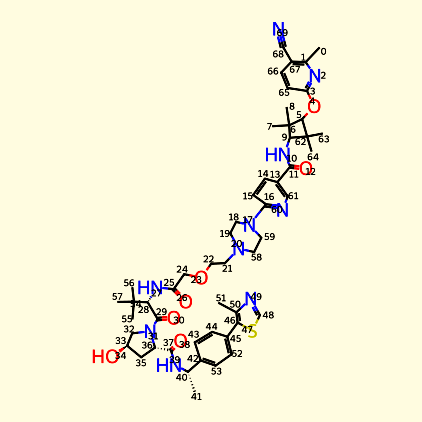 Cc1nc(OC2C(C)(C)C(NC(=O)c3ccc(N4CCN(CCOCC(=O)N[C@H](C(=O)N5C[C@H](O)C[C@H]5C(=O)N[C@@H](C)c5ccc(-c6scnc6C)cc5)C(C)(C)C)CC4)nc3)C2(C)C)ccc1C#N